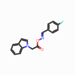 O=C(Cn1ccc2ccccc21)ON=Cc1ccc(F)cc1